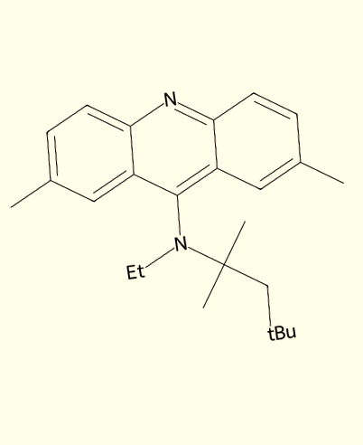 CCN(c1c2cc(C)ccc2nc2ccc(C)cc12)C(C)(C)CC(C)(C)C